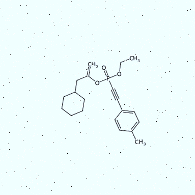 C=C(CC1CCCCC1)OP(=O)(C#Cc1ccc(C)cc1)OCC